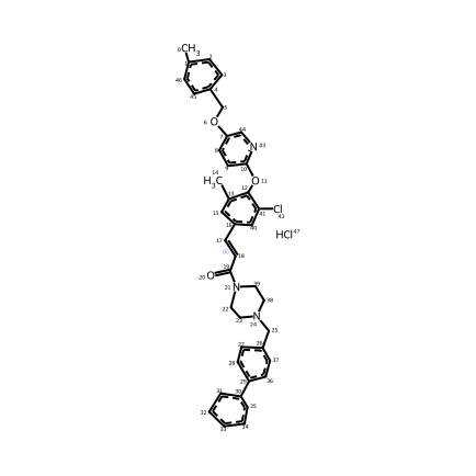 Cc1ccc(COc2ccc(Oc3c(C)cc(/C=C/C(=O)N4CCN(Cc5ccc(-c6ccccc6)cc5)CC4)cc3Cl)nc2)cc1.Cl